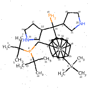 CC(C)(C)P(C[C]12[CH]3[C]4([Si](C)(C)C)[CH]5[C]1(C(P)(C1CCNC1)C1CCNC1)[Fe]35241678[CH]2[CH]1[CH]6[CH]7[CH]28)C(C)(C)C